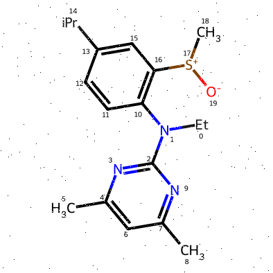 CCN(c1nc(C)cc(C)n1)c1ccc(C(C)C)cc1[S+](C)[O-]